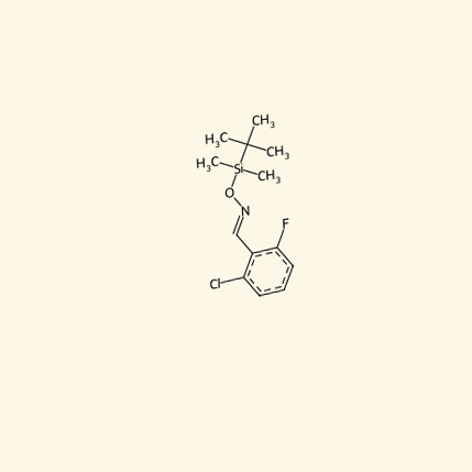 CC(C)(C)[Si](C)(C)ON=Cc1c(F)cccc1Cl